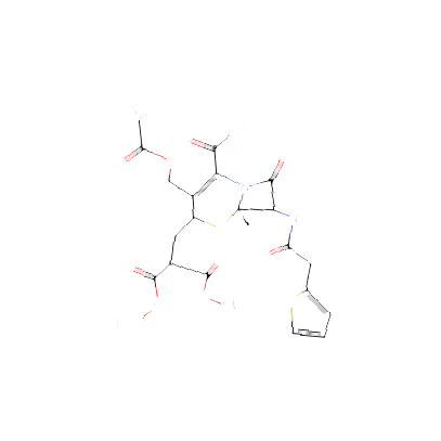 COC(=O)C(CC1S[C@H]2C(NC(=O)Cc3cccs3)C(=O)N2C(C(=O)O)=C1COC(C)=O)C(=O)OC